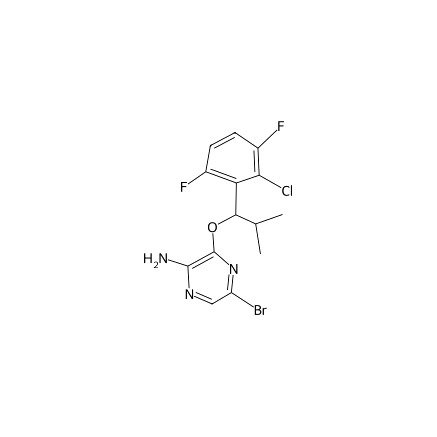 CC(C)C(Oc1nc(Br)cnc1N)c1c(F)ccc(F)c1Cl